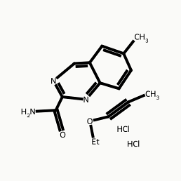 CC#COCC.Cc1ccc2nc(C(N)=O)ncc2c1.Cl.Cl